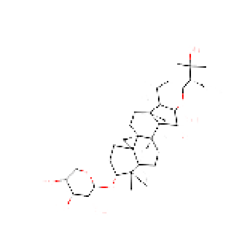 CC(=O)O[C@@H]([C@H]1C[C@@H](C)[C@H]2[C@@](O)(O1)[C@H](O)[C@@]1(C)[C@@H]3CC[C@H]4C(C)(C)[C@@H](O[C@@H]5OCC(O)[C@H](O)[C@H]5O)CCC45C[C@@]35CC[C@]21C)C(C)(C)O